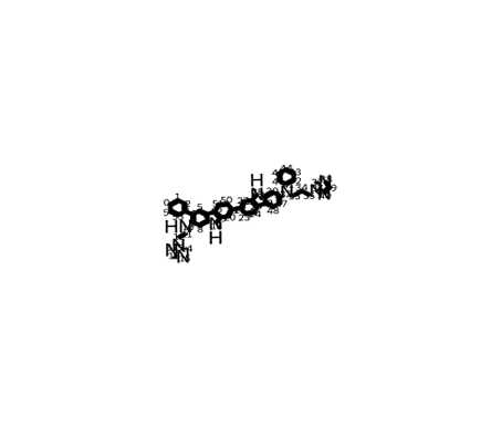 c1ccc(-c2cc3c(cc2NCCn2cncn2)[nH]c2cc(-c4ccc5c(c4)[nH]c4cc(N(CCCn6cncn6)c6ccccc6)ccc45)ccc23)cc1